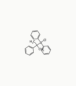 CC(C)(c1ccccc1)[Si](Cl)(c1ccccc1)c1ccccc1